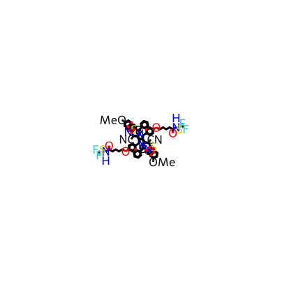 COc1ccc2sc(/C(C#N)=c3/c4c(-c5ccc(OCCCCC(=O)NSC(F)F)cc5)n(B(c5ccccc5)c5ccccc5)/c(=C(/C#N)c5nc6cc(OC)ccc6s5)c4c(-c4ccc(OCCCCC(=O)NSC(F)F)cc4)n3B(c3ccccc3)c3ccccc3)nc2c1